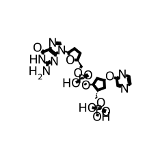 Nc1nc2c(ncn2[C@H]2CC[C@@H](COP(=O)(O)O[C@H]3C[C@H](Oc4cnccn4)C[C@@H]3COP(=O)(O)O)O2)c(=O)[nH]1